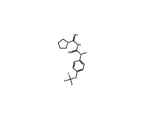 CN(C(=N)NC(=N)N1CCCC1)c1ccc(OC(F)(F)F)cc1